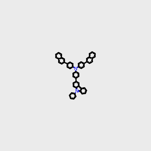 c1ccc(-n2c3ccccc3c3cc(-c4ccc(N(c5ccc(-c6ccc7ccccc7c6)cc5)c5ccc(-c6ccc7ccccc7c6)cc5)cc4)ccc32)cc1